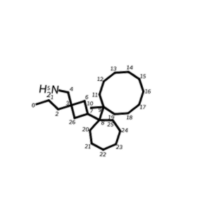 CCCC1(CN)CC(C2(C3(C)CCCCCCCCC3)CCCCCC2)C1